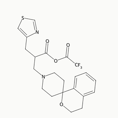 O=C(OC(=O)C(F)(F)F)C(Cc1cscn1)CN1CCC2(CC1)OCCc1ccccc12